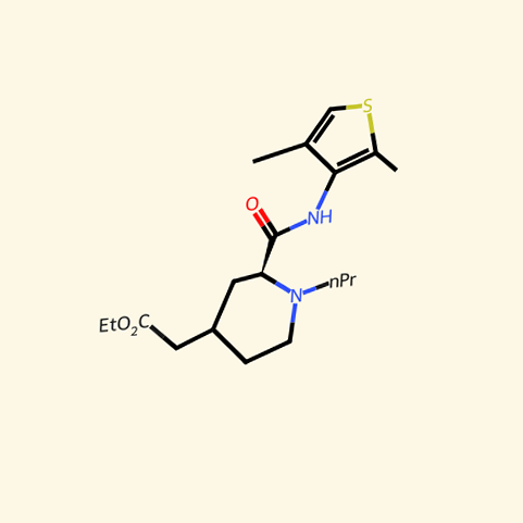 CCCN1CCC(CC(=O)OCC)C[C@H]1C(=O)Nc1c(C)csc1C